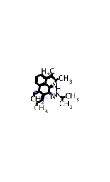 C\C=C1C(=C\CC)/C(=N/NC(C)C)C2=NC(C)C(C)c3cccc/1c32